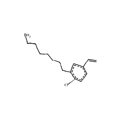 BCCCCCCCc1cc(C=C)ccc1Cl